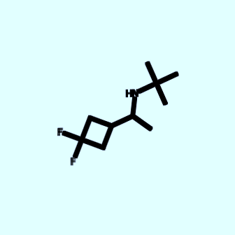 CC(NC(C)(C)C)C1CC(F)(F)C1